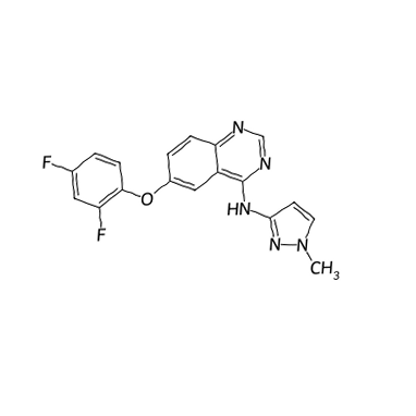 Cn1ccc(Nc2ncnc3ccc(Oc4ccc(F)cc4F)cc23)n1